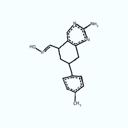 Cc1ccc(C2Cc3nc(N)ncc3C(C=NO)C2)cc1